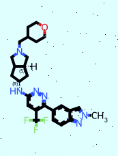 Cn1cc2cc(-c3nnc(N[C@@H]4CC5CN(CC6CCOCC6)C[C@H]5C4)cc3C(F)(F)F)ccc2n1